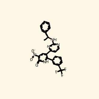 CC(Nc1nccc(-c2cc([N+](=O)[O-])c(=O)[nH]c2-c2cccc(C(F)(F)F)c2)n1)c1ccccc1